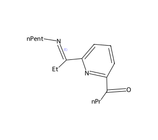 CCCCC/N=C(\CC)c1cccc(C(=O)CCC)n1